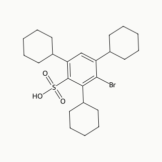 O=S(=O)(O)c1c(C2CCCCC2)cc(C2CCCCC2)c(Br)c1C1CCCCC1